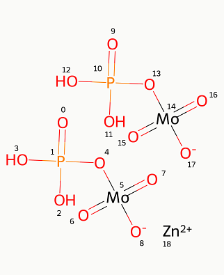 O=P(O)(O)[O][Mo](=[O])(=[O])[O-].O=P(O)(O)[O][Mo](=[O])(=[O])[O-].[Zn+2]